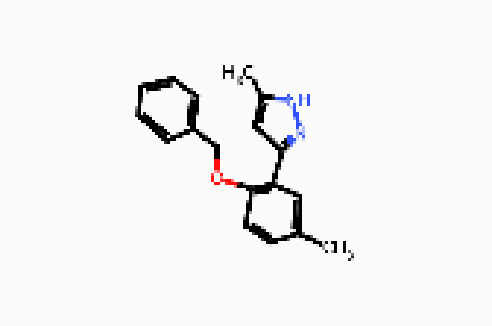 Cc1ccc(OCc2ccccc2)c(-c2cc(C)[nH]n2)c1